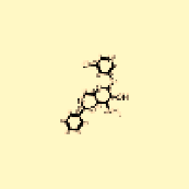 NC1C(O)C(Sc2cncc(Cl)c2)OC2COC(c3ccccc3)OC21